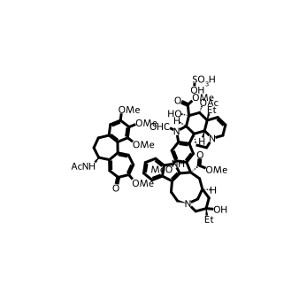 CC[C@]1(O)C[C@H]2C[N@](CCc3c([nH]c4ccccc34)[C@@](C(=O)OC)(c3cc4c(cc3OC)N(C=O)[C@H]3[C@@](O)(C(=O)OC)[C@H](OC(C)=O)[C@]5(CC)C=CCN6CC[C@]43[C@@H]65)C2)C1.COc1cc2c(c(OC)c1OC)-c1ccc(OC)c(=O)cc1[C@@H](NC(C)=O)CC2.O=S(=O)(O)O